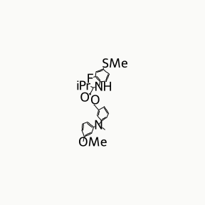 COc1cccc(N(C)c2cccc(COC(=O)C(Nc3ccc(SC)cc3F)C(C)C)c2)c1